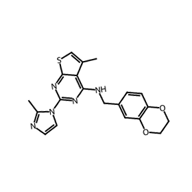 Cc1csc2nc(-n3ccnc3C)nc(NCc3ccc4c(c3)OCCO4)c12